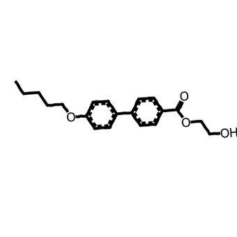 CCCCCOc1ccc(-c2ccc(C(=O)OCCO)cc2)cc1